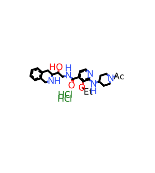 CCOc1c(C(=O)NCC(O)C2Cc3ccccc3CN2)ccnc1NC1CCN(C(C)=O)CC1.Cl.Cl